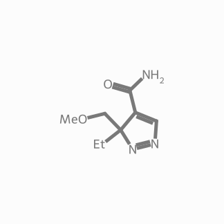 CCC1(COC)N=NC=C1C(N)=O